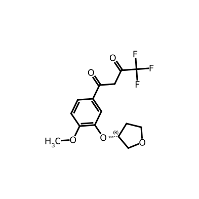 COc1ccc(C(=O)CC(=O)C(F)(F)F)cc1O[C@@H]1CCOC1